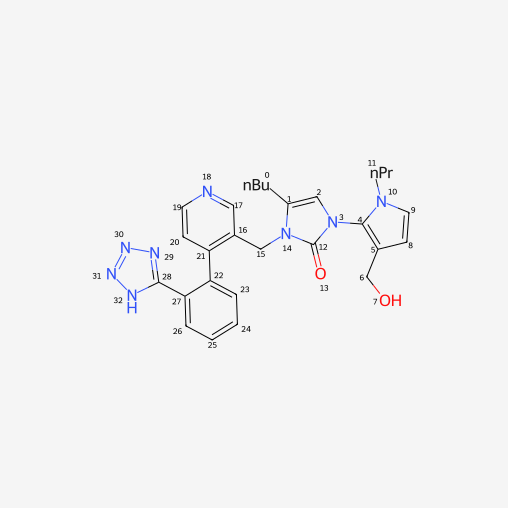 CCCCc1cn(-c2c(CO)ccn2CCC)c(=O)n1Cc1cnccc1-c1ccccc1-c1nnn[nH]1